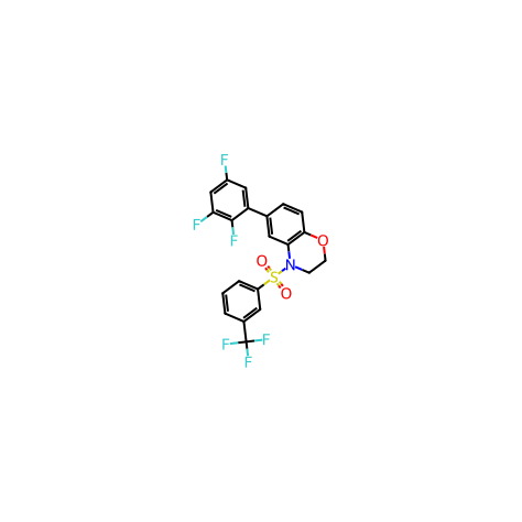 O=S(=O)(c1cccc(C(F)(F)F)c1)N1CCOc2ccc(-c3cc(F)cc(F)c3F)cc21